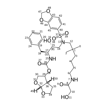 CC(C)(CCCCNC(=O)CO)CN(C[C@@H](O)[C@H](Cc1ccccc1)NC(=O)OC1CO[C@H]2OCC[C@@H]12)S(=O)(=O)c1ccc2c(c1)OCO2